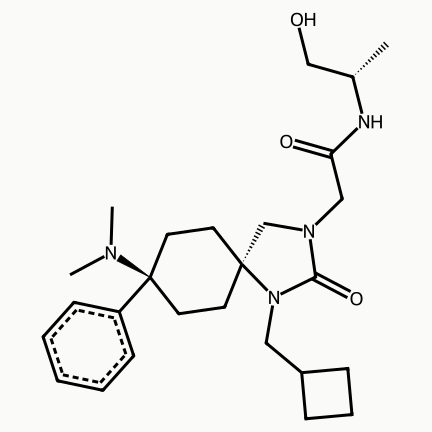 C[C@@H](CO)NC(=O)CN1C[C@]2(CC[C@](c3ccccc3)(N(C)C)CC2)N(CC2CCC2)C1=O